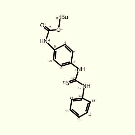 CC(C)(C)OC(=O)Nc1ccc(NC(=S)Nc2ccccc2)cc1